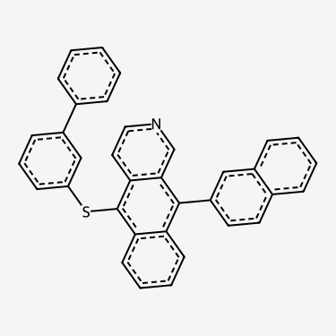 c1ccc(-c2cccc(Sc3c4ccccc4c(-c4ccc5ccccc5c4)c4cnccc34)c2)cc1